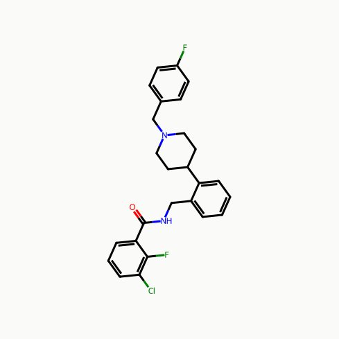 O=C(NCc1ccccc1C1CCN(Cc2ccc(F)cc2)CC1)c1cccc(Cl)c1F